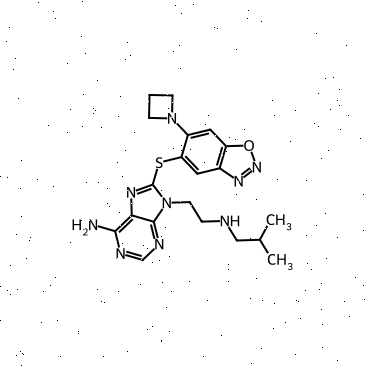 CC(C)CNCCn1c(Sc2cc3nnoc3cc2N2CCC2)nc2c(N)ncnc21